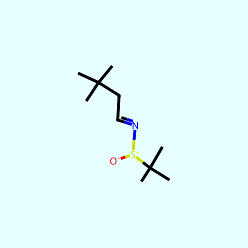 CC(C)(C)CC=N[S+]([O-])C(C)(C)C